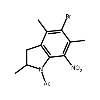 CC(=O)N1c2c(c(C)c(Br)c(C)c2[N+](=O)[O-])CC1C